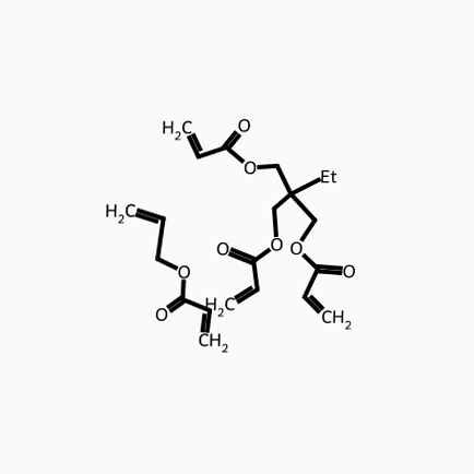 C=CC(=O)OCC(CC)(COC(=O)C=C)COC(=O)C=C.C=CCOC(=O)C=C